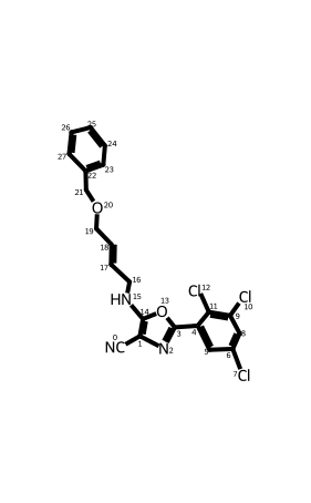 N#Cc1nc(-c2cc(Cl)cc(Cl)c2Cl)oc1NC/C=C/COCc1ccccc1